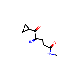 CNC(=O)CCC(=N)C(=O)C1CC1